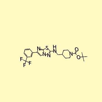 CC(C)(C)OC(=O)N1CCC(CNc2nn3cc(-c4cccc(C(F)(F)F)c4)nc3s2)CC1